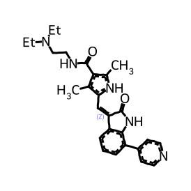 CCN(CC)CCNC(=O)c1c(C)[nH]c(/C=C2\C(=O)Nc3c2cccc3-c2ccncc2)c1C